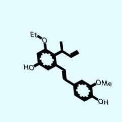 C=CC(C)c1c(/C=C/c2ccc(O)c(OC)c2)cc(O)cc1OCC